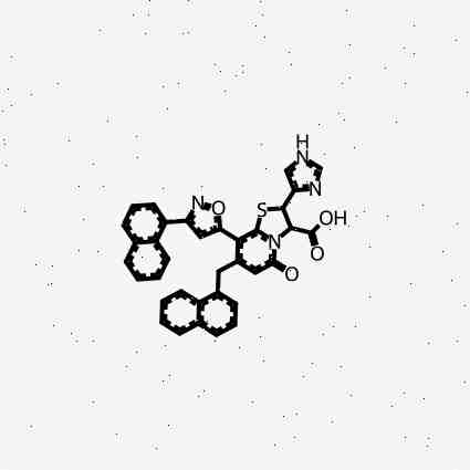 O=C(O)C1C(c2c[nH]cn2)Sc2c(-c3cc(-c4cccc5ccccc45)no3)c(Cc3cccc4ccccc34)cc(=O)n21